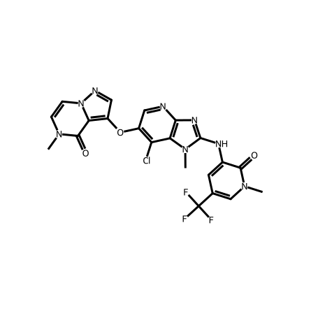 Cn1cc(C(F)(F)F)cc(Nc2nc3ncc(Oc4cnn5ccn(C)c(=O)c45)c(Cl)c3n2C)c1=O